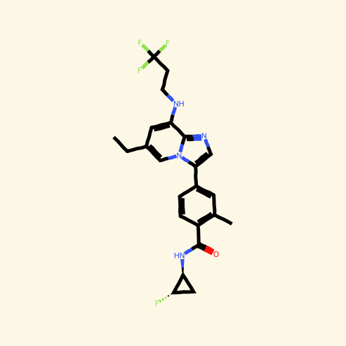 CCc1cc(NCCC(F)(F)F)c2ncc(-c3ccc(C(=O)N[C@H]4C[C@@H]4F)c(C)c3)n2c1